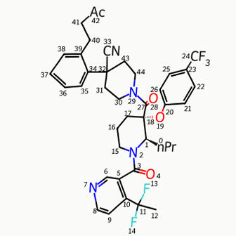 CCC[C@H]1N(C(=O)c2cnccc2C(C)(F)F)CCC[C@@]1(Oc1ccc(C(F)(F)F)cc1)C(=O)N1CCC(C#N)(c2ccccc2CCC(C)=O)CC1